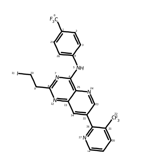 FC(F)(F)c1ccc(Nc2nc(CCI)nc3cc(-c4ncccc4C(F)(F)F)cnc23)cc1